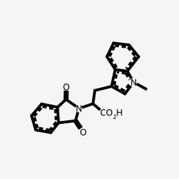 Cn1cc(CC(C(=O)O)N2C(=O)c3ccccc3C2=O)c2ccccc21